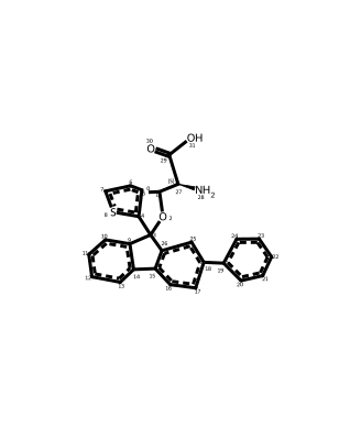 CC(OC1(c2cccs2)c2ccccc2-c2ccc(-c3ccccc3)cc21)[C@H](N)C(=O)O